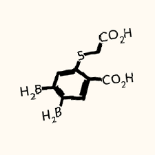 Bc1cc(SCC(=O)O)c(C(=O)O)cc1B